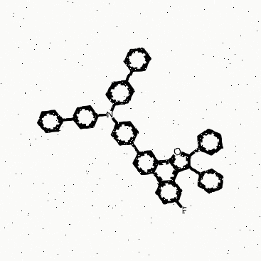 Fc1ccc2c3ccc(-c4ccc(N(c5ccc(-c6ccccc6)cc5)c5ccc(-c6ccccc6)cc5)cc4)cc3c3oc(-c4ccccc4)c(-c4ccccc4)c3c2c1